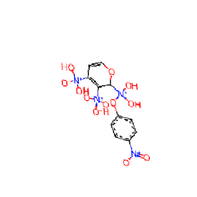 O=[N+]([O-])c1ccc(O[N+](O)(O)C2OC=CC([N+]([O-])(O)O)=C2[N+]([O-])(O)O)cc1